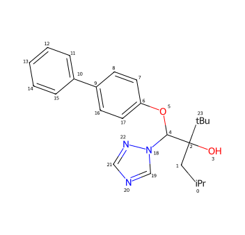 CC(C)CC(O)(C(Oc1ccc(-c2ccccc2)cc1)n1cncn1)C(C)(C)C